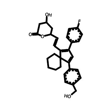 O=C1CC(O)CC(C=CC2=C(c3ccc(F)cc3)C=C(c3ccc(CO)cc3)C23CCCCC3)O1